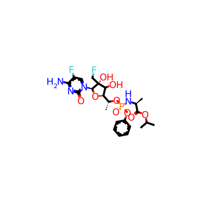 CC(C)OC(=O)[C@H](C)NP(=O)(Oc1ccccc1)O[C@H](C)[C@H]1O[C@@H](n2cc(F)c(N)nc2=O)[C@@](O)(CF)C1O